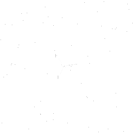 F[Se](F)F